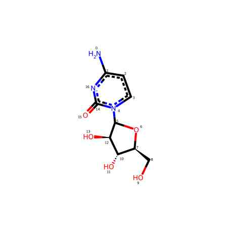 Nc1ccn(C2O[C@@H](CO)[C@H](O)[C@H]2O)c(=O)n1